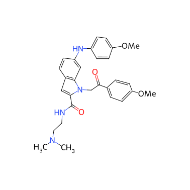 COc1ccc(Nc2ccc3cc(C(=O)NCCN(C)C)n(CC(=O)c4ccc(OC)cc4)c3c2)cc1